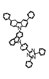 C1=CC2C(=C3CC(c4ccccc4)=CC=C3N2c2ccc3c(c2)c2ccccc2n3-c2ccc(-c3nc(-c4ccccc4)nc(-c4ccccc4)n3)cc2)C=C1c1ccccc1